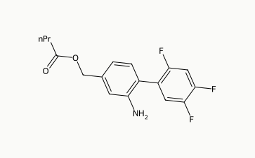 CCCC(=O)OCc1ccc(-c2cc(F)c(F)cc2F)c(N)c1